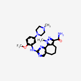 CN1CCN(c2ccc(OC(F)(F)F)c(Nc3ncc4c(n3)-c3c(c(C(N)=O)nn3C)CCC4)c2)CC1